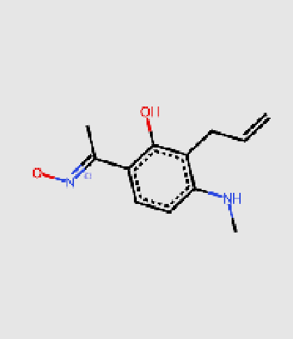 C=CCc1c(NC)ccc(/C(C)=N/O)c1O